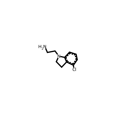 NCCN1CCc2c(Cl)cccc21